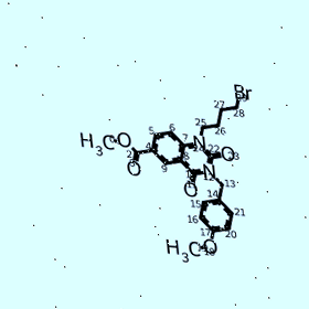 COC(=O)c1ccc2c(c1)c(=O)n(Cc1ccc(OC)cc1)c(=O)n2CCCCBr